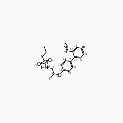 CCCS(=O)(=O)NCC(C)Oc1ccc(-c2ccccc2C=O)cc1